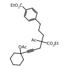 CCOC(=O)c1ccc(CCCC(CC#CC2(OC(C)=O)CCCCC2)(C(C)=O)C(=O)OCC)cc1